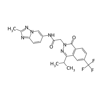 Cc1nc2ccc(NC(=O)Cn3nc(C(C)C)c4cc(C(F)(F)F)ccc4c3=O)cn2n1